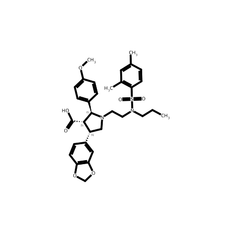 CCCN(CCN1C[C@H](c2ccc3c(c2)OCO3)[C@H](C(=O)O)[C@H]1c1ccc(OC)cc1)S(=O)(=O)c1ccc(C)cc1C